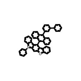 c1ccc(-c2cccc(-c3c4ccccc4c(-c4c5c(cc6c4c4ccccc4n6-c4ccccc4)oc4ccccc45)c4ccccc34)c2)cc1